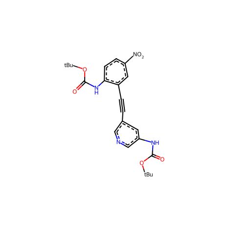 CC(C)(C)OC(=O)Nc1cncc(C#Cc2cc([N+](=O)[O-])ccc2NC(=O)OC(C)(C)C)c1